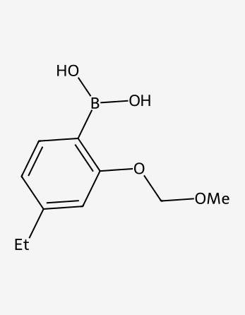 CCc1ccc(B(O)O)c(OCOC)c1